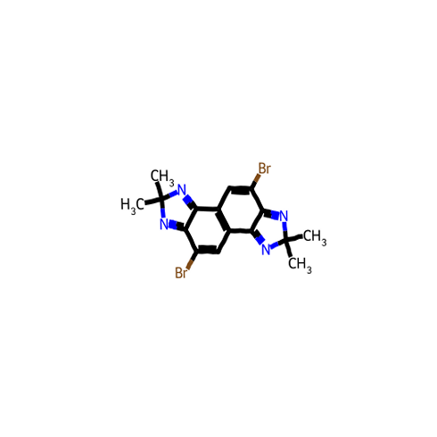 CC1(C)N=c2c(Br)cc3c4c(c(Br)cc3c2=N1)=NC(C)(C)N=4